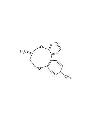 C=C1CCOC2=C(C=CC(C)C=C2)c2ccccc2OC1